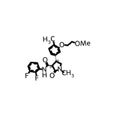 COCCOc1cc([C@@H]2CN(C)C(=O)[C@H]2C(=O)Nc2cccc(F)c2F)ccc1C